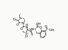 CCN1CCN(C(=O)N[C@@H](C(=O)NC2Cc3cccc(C(=O)O)c3OB2O)[C@H](C)OC)C(=O)C1=O